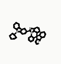 c1ccc(-n2c3ccccc3c3cc(-c4nc5cccc6c5n4-c4ccccc4C64c5ccccc5-c5ccccc54)ccc32)cc1